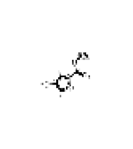 CC(C)(C)OC(=O)c1cc([O])cs1